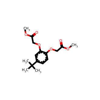 COC(=O)COc1ccc(C(C)(C)C)cc1OCC(=O)OC